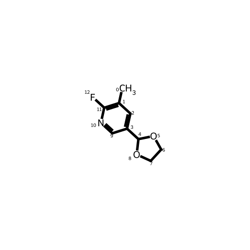 Cc1cc(C2OCCO2)cnc1F